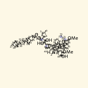 C=C[C@@H](C)C[C@@H](C)/C(=N\OCC(=O)N1CCc2nc(N3CCN(c4ncc(C)cn4)CC3)ncc2C1)[C@H](O)[C@H](O)/C(C)=C/[C@@H](C)[C@H](O)C[C@H](OC(=O)[C@@H]1CCCCN1C(=O)C(=O)[C@]1(O)O[C@H](C[C@H](OC)/C(C)=C/C=C/C)CC[C@H]1C)[C@H](N)C[C@@H]1CC[C@@H](O)[C@H](OC)C1